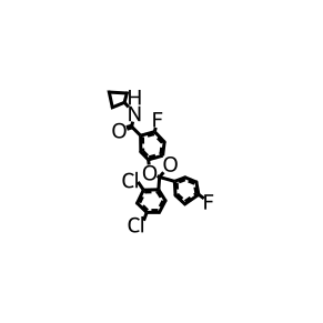 O=C(NC1CCC1)c1cc2c(cc1F)OC(c1ccc(F)cc1)(c1ccc(Cl)cc1Cl)O2